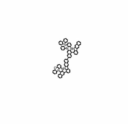 c1ccc([Si]2(c3ccccc3)c3ccccc3N3c4cc5cc(-c6ccc7cc8c(cc7c6)c6cccc7c6n8B6c8cccc9c8N(c8ccccc8O9)c8c6c-7cc6ccccc86)ccc5c5c4B(c4cccc2c43)n2c3cc4ccccc4cc3c3cccc-5c32)cc1